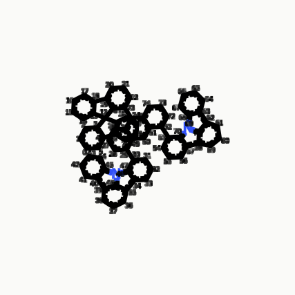 c1ccc2c(c1)-c1ccccc1C21c2ccccc2-c2cccc(-c3c4cccc(-c5cccc6c7cccc8c9ccccc9n(c56)c87)c4cc4c(-c5cccc6c7cccc8c9ccccc9n(c56)c87)cccc34)c21